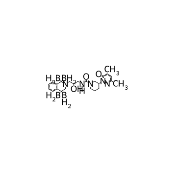 BC1(B)CN(CC(O)CNC(=O)N2CCCC(n3nc(C)cc(C)c3=O)C2)C(B)(B)c2ccccc21